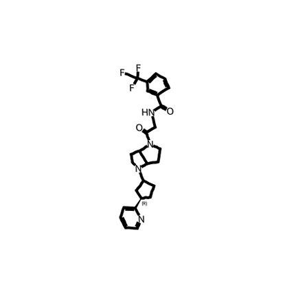 O=C(NCC(=O)N1CCC2C1CCN2C1CC[C@@H](c2ccccn2)C1)c1cccc(C(F)(F)F)c1